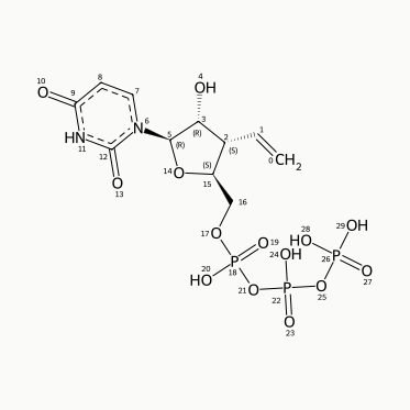 C=C[C@H]1[C@@H](O)[C@H](n2ccc(=O)[nH]c2=O)O[C@@H]1COP(=O)(O)OP(=O)(O)OP(=O)(O)O